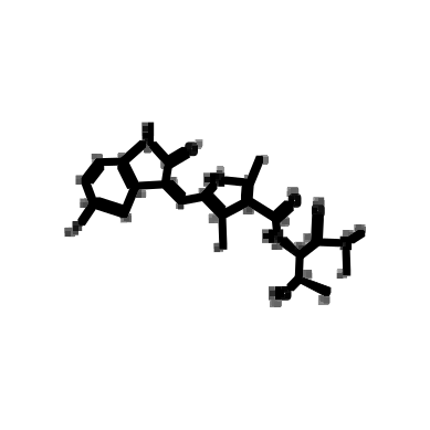 Cc1[nH]c(/C=C2\C(=O)Nc3ccc(F)cc32)c(C)c1C(=O)N[C@@H](C(=O)N(C)C)[C@@H](C)O